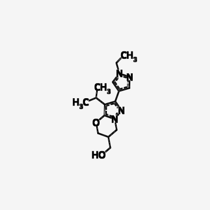 CCn1cc(-c2nn3c(c2C(C)C)OCC(CO)C3)cn1